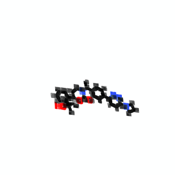 C[C@@H](c1ccc(-c2ccc(N3CCC3)nn2)cc1)N1CC[C@](CC(C)(C)O)(c2ccccc2)OC1=O